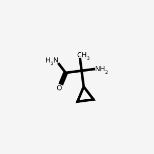 CC(N)(C(N)=O)C1CC1